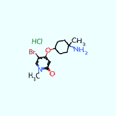 Cl.Cn1cc(Br)c(OC2CCC(C)(N)CC2)cc1=O